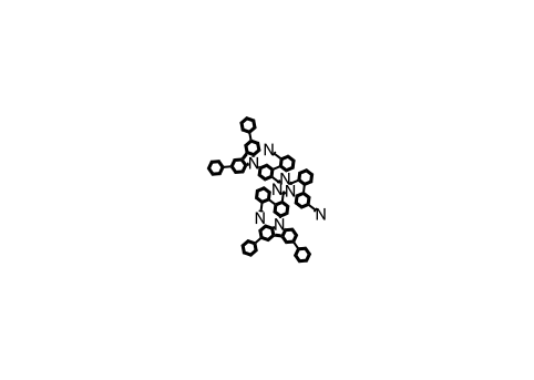 N#Cc1cccc(-c2ccccc2-c2nc(-c3ccc(-n4c5ccc(-c6ccccc6)cc5c5cc(-c6ccccc6)ccc54)cc3-c3ccccc3C#N)nc(-c3ccc(-n4c5ccc(-c6ccccc6)cc5c5cc(-c6ccccc6)ccc54)cc3-c3ccccc3C#N)n2)c1